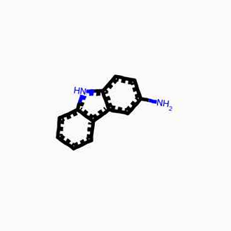 Nc1ccc2[nH]c3ccccc3c2c1